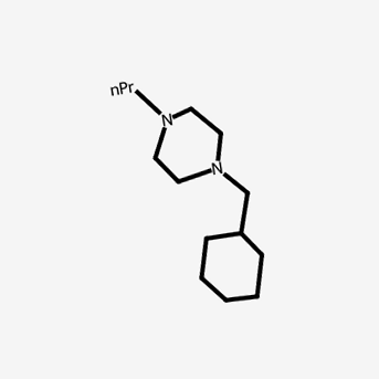 CCCN1CCN(CC2CCCCC2)CC1